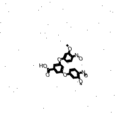 COc1cc(Oc2cc(Oc3ccc(N=O)c(OC)c3)cc(C(=O)O)c2)ccc1N=O